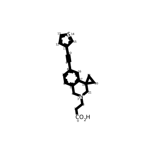 O=C(O)CCN1Cc2ccc(C#Cc3ccsc3)cc2C2(CC2)C1